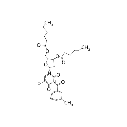 CCCCCC(=O)OC[C@H]1O[C@@H](n2cc(F)c(=O)n(C(=O)c3cccc(C)c3)c2=O)C[C@@H]1OC(=O)CCCCC